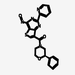 O=Nc1nc(-c2ccccn2)nc2c(C(=O)N3CCO[C@H](c4ccccc4)C3)csc12